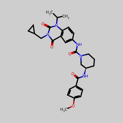 COc1ccc(C(=O)N[C@@H]2CCCN(C(=O)Nc3ccc4c(c3)c(=O)n(CC3CC3)c(=O)n4C(C)C)C2)cc1